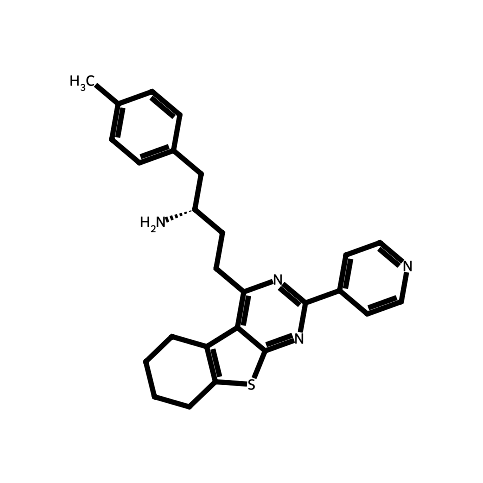 Cc1ccc(C[C@@H](N)CCc2nc(-c3ccncc3)nc3sc4c(c23)CCCC4)cc1